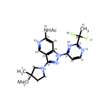 CO[C@]1(C)CCN(c2nn(-c3ccnc(C(C)(F)F)n3)c3cc(NC(C)=O)ncc23)C1